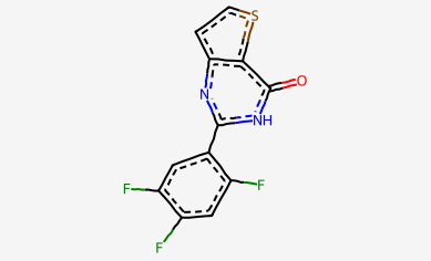 O=c1[nH]c(-c2cc(F)c(F)cc2F)nc2ccsc12